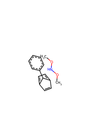 C1=CC2=CC=C1C2c1ccccc1.CONOC